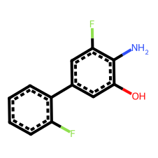 Nc1c(O)cc(-c2ccccc2F)cc1F